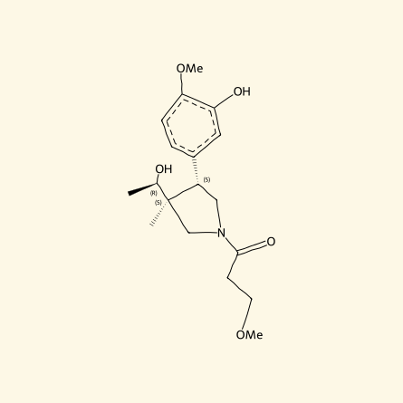 COCCC(=O)N1C[C@@H](c2ccc(OC)c(O)c2)[C@](C)([C@@H](C)O)C1